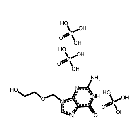 Nc1nc2c(ncn2COCCO)c(=O)[nH]1.O=P(O)(O)O.O=P(O)(O)O.O=P(O)(O)O